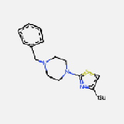 CC(C)(C)c1csc(N2CCN(Cc3ccccc3)CC2)n1